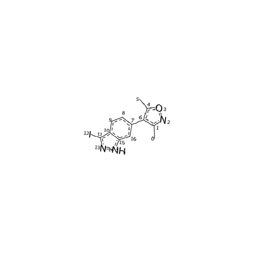 Cc1noc(C)c1-c1ccc2c(I)n[nH]c2c1